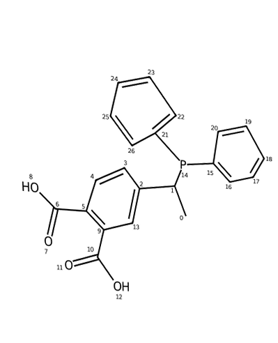 CC(c1ccc(C(=O)O)c(C(=O)O)c1)P(c1ccccc1)c1ccccc1